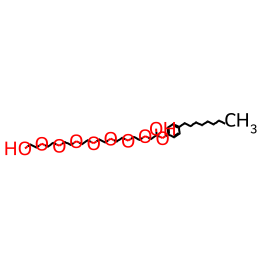 CCCCCCCCCc1ccc(OC(O)COCCOCCOCCOCCOCCOCCOCCO)cc1